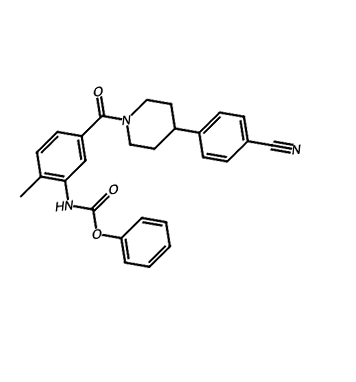 Cc1ccc(C(=O)N2CCC(c3ccc(C#N)cc3)CC2)cc1NC(=O)Oc1ccccc1